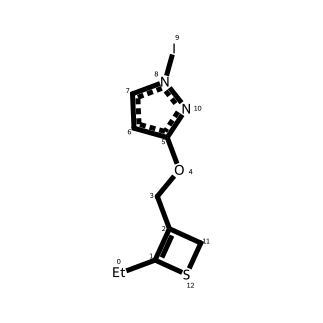 CCC1=C(COc2ccn(I)n2)CS1